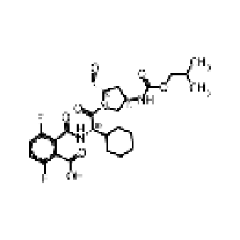 CC(C)COC(=O)N[C@@H]1C[C@@H](C=O)N(C(=O)[C@@H](NC(=O)c2c(F)ccc(F)c2C(=O)O)C2CCCCC2)C1